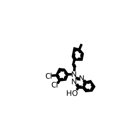 Cc1ccc(C=CN(c2ccc(Cl)c(Cl)c2)c2nc(O)c3ccccc3n2)cc1